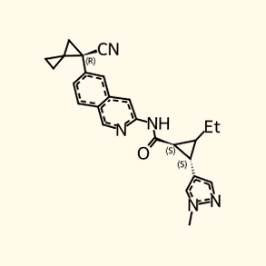 CCC1[C@H](C(=O)Nc2cc3cc([C@@]4(C#N)CC45CC5)ccc3cn2)[C@H]1c1cnn(C)c1